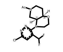 CC(=O)N1CC[C@H]2OCCN(c3nnc(Cl)cc3C(F)F)[C@H]2C1